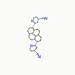 N#Cc1ccnc(-c2ccc3ccc4c(-c5cc(C#N)ccn5)ccc5ccc2c3c54)c1